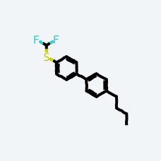 CCCCc1ccc(-c2ccc(SC(F)F)cc2)cc1